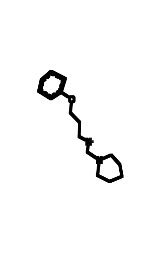 c1ccc(OCCC[N]CN2CCCCC2)cc1